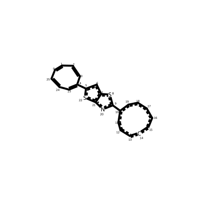 C1=C\C=C/C(c2cc3sc(-c4ccccccccc4)nc3s2)=C\C=C/1